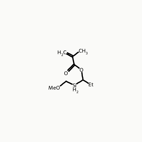 C=C(C)C(=O)OC(CC)[SiH2]COC